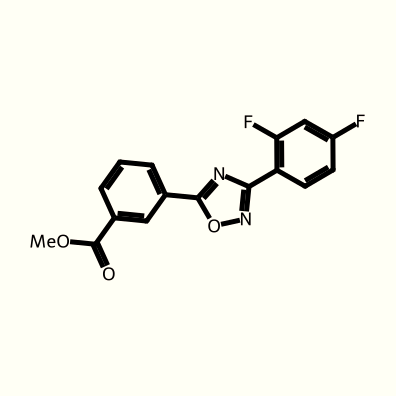 COC(=O)c1cccc(-c2nc(-c3ccc(F)cc3F)no2)c1